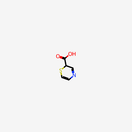 O=C(O)C1C=NC=CS1